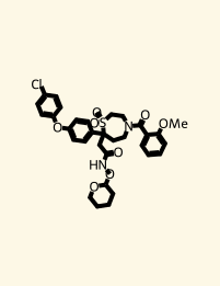 COc1ccccc1C(=O)N1CCC(CC(=O)NOC2CCCCO2)(c2ccc(Oc3ccc(Cl)cc3)cc2)S(=O)(=O)CC1